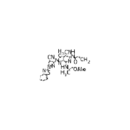 C=CC(=O)Nc1nc(NC(C)COC)c(N=Nc2nn(-c3nc4ccccc4s3)cc2C#N)c(C)c1C#N